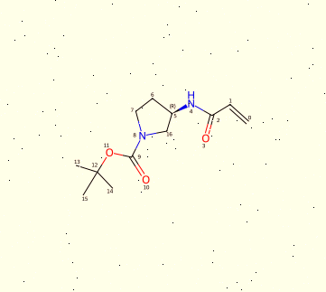 C=CC(=O)N[C@@H]1CCN(C(=O)OC(C)(C)C)C1